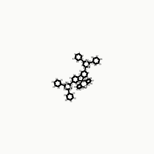 c1ccc(-c2cc(-c3ccc4c(c3)-c3ccc(-c5nc(-c6ccccc6)nc(-c6ccccc6)n5)cc3C43c4ccccc4Oc4ccccc43)nc(-c3ccccc3)n2)cc1